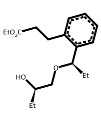 CCOC(=O)CCc1ccccc1[C@@H](CC)OC[C@H](O)CC